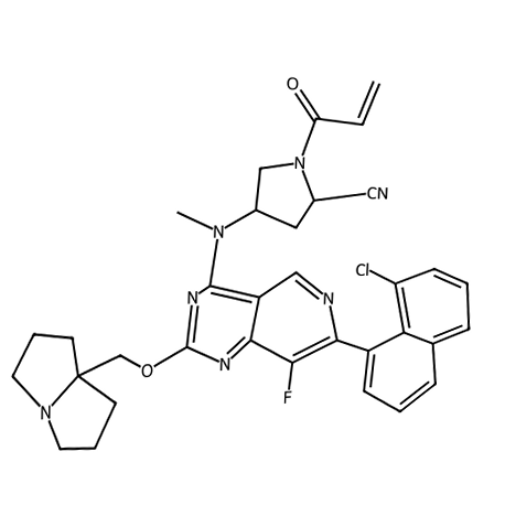 C=CC(=O)N1CC(N(C)c2nc(OCC34CCCN3CCC4)nc3c(F)c(-c4cccc5cccc(Cl)c45)ncc23)CC1C#N